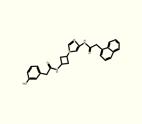 O=C(Cc1cccc2ccccc12)Nc1cn(C2CC(NC(=O)Cc3cccc(O)c3)C2)cn1